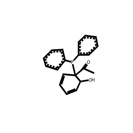 CC(=O)C1(P(c2ccccc2)c2ccccc2)C=CC=CC1O